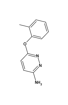 Cc1ccccc1Oc1ccc(N)nn1